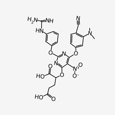 CN(C)c1cc(Oc2nc(Oc3cccc(NC(=N)N)c3)nc(OC(CCC(=O)O)C(=O)O)c2[N+](=O)[O-])ccc1C#N